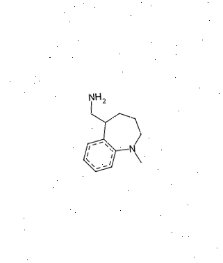 CN1CCCC(CN)c2ccccc21